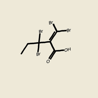 CCC(Br)(Br)C(C(=O)O)=C(Br)Br